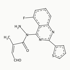 C/C(=C/C=O)C(=O)N(N)c1nc(-c2cccs2)nc2cccc(F)c12